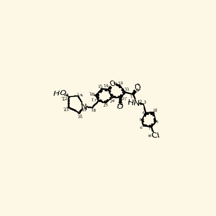 O=C(NCc1ccc(Cl)cc1)c1coc2ccc(CN3CC[C@@H](O)C3)cc2c1=O